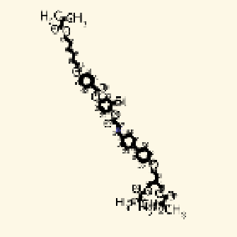 C=C(C)C(=O)OCCCCCCOc1ccc(C(=O)Oc2ccc(OC(=O)/C=C/c3ccc(-c4ccc(OCCC(COC(=O)C(=C)C)COC(=O)C(=C)C)cc4)cc3)c(CC)c2)cc1